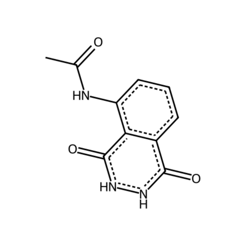 CC(=O)Nc1cccc2c(=O)[nH][nH]c(=O)c12